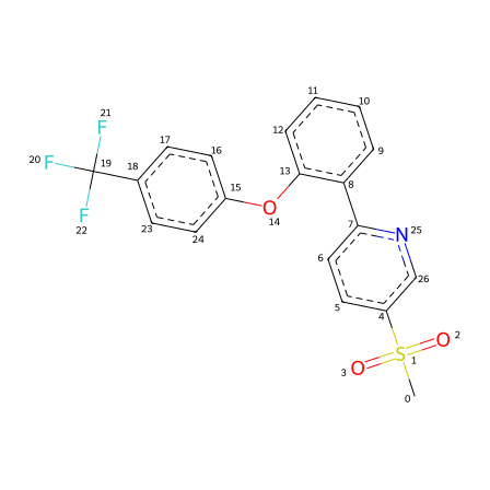 CS(=O)(=O)c1ccc(-c2ccccc2Oc2ccc(C(F)(F)F)cc2)nc1